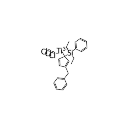 CC[Si](CC)(c1ccccc1)[C]1([Ti+3])C=CC(Cc2ccccc2)=C1.[Cl-].[Cl-].[Cl-]